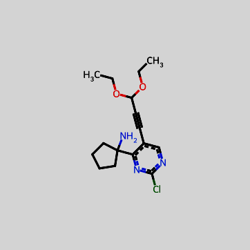 CCOC(C#Cc1cnc(Cl)nc1C1(N)CCCC1)OCC